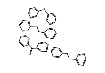 O=C(c1ccccc1)c1ccccc1.c1ccc(CCc2ccccc2)cc1.c1ccc(CSc2ccccc2)cc1.c1ccc(Sc2ccccc2)cc1